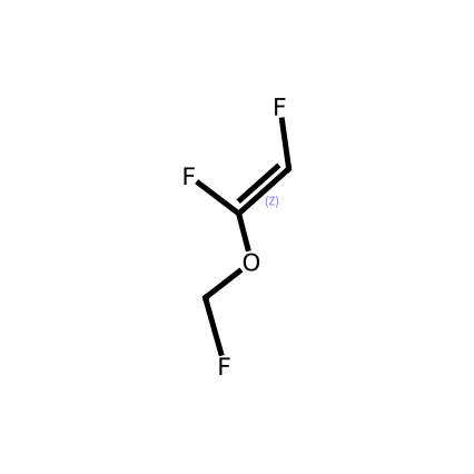 F/C=C(\F)OCF